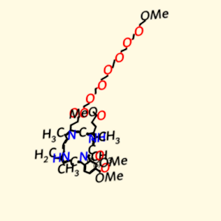 C=Cc1c(C)c2cc3nc(cc4[nH]c(cc5nc(cc1[nH]2)C(C)=C5CCC(=O)OCCOCCOCCOCCOCCOCCOCCOC)c(CCC(=O)OC)c4C)[C@@]1(C)C3=CC=C(C(=O)OC)[C@H]1C(=O)OC